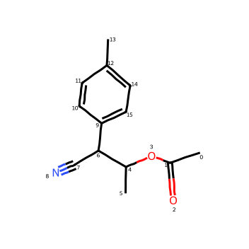 CC(=O)OC(C)C(C#N)c1ccc(C)cc1